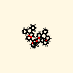 c1ccc(-c2ccccc2N(c2ccc3c(c2)-c2ccccc2Oc2ccccc2-3)c2ccc3c(c2)C2(c4ccccc4-c4ccccc4-3)c3ccccc3-c3c2ccc2c3sc3ccccc32)cc1